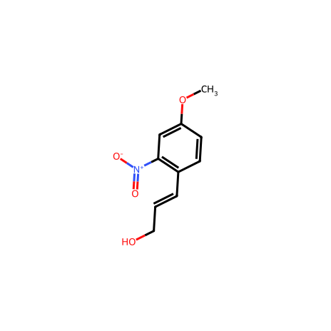 COc1ccc(C=CCO)c([N+](=O)[O-])c1